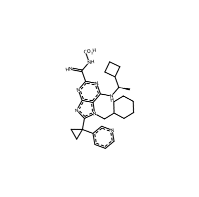 C[C@@H](Nc1nc(C(=N)NC(=O)O)nc2nc(C3(c4cccnc4)CC3)n(CC3CCCCC3)c12)C1CCC1